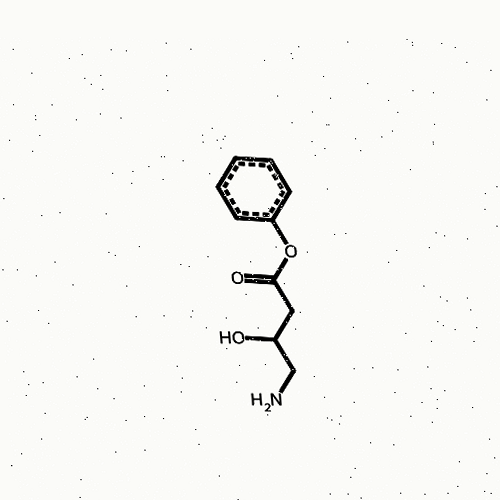 NCC(O)CC(=O)Oc1ccccc1